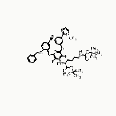 Cn1ccnc1-c1cccc(Oc2nc(Oc3cc(C#N)ccc3OCc3ccccc3)c(F)c(NC(CCCCNC(=O)OC(C)(C)C)C(=O)OC(C)(C)C)c2F)c1